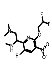 CNC(CN(C)C)c1nc(OCC(F)F)c([N+](=O)[O-])cc1Br